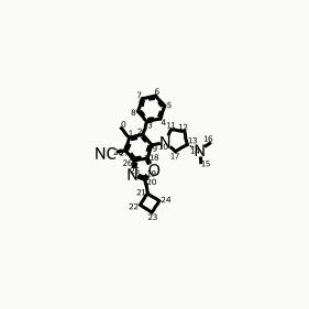 Cc1c(-c2ccccc2)c(N2CC[C@H](N(C)C)C2)c2oc(C3CCC3)nc2c1C#N